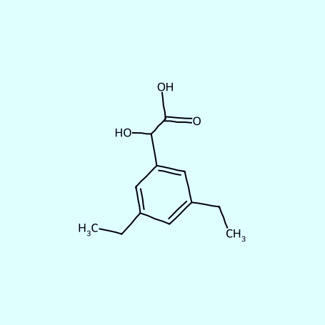 CCc1cc(CC)cc(C(O)C(=O)O)c1